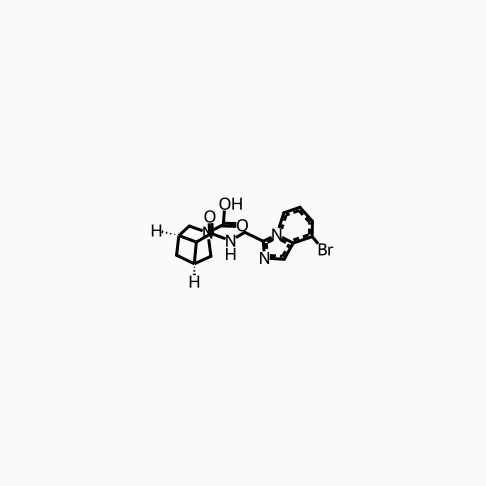 O=C(NCc1ncc2c(Br)cccn12)C1[C@@H]2C[C@H]1CN(C(=O)O)C2